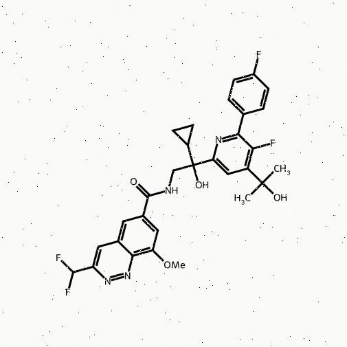 COc1cc(C(=O)NCC(O)(c2cc(C(C)(C)O)c(F)c(-c3ccc(F)cc3)n2)C2CC2)cc2cc(C(F)F)nnc12